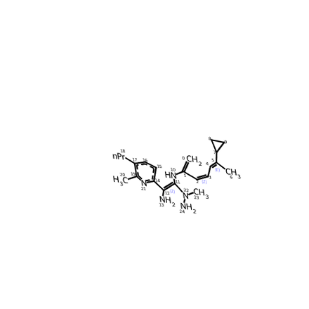 C=C(/C=C\C=C(/C)C1CC1)N/C(=C(/N)c1ccc(CCC)c(C)n1)N(C)N